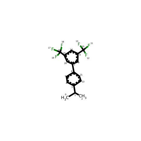 CC(C)c1ccc(-c2cc(C(F)(F)F)cc(C(F)(F)F)c2)cc1